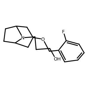 OCCCN1C2CCC1CC(OCc1ccccc1F)C2